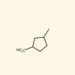 O=C(O)C1CCC(I)C1